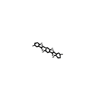 Cc1ccc2sc3c4cc5sc6c7cc(C)ccc7sc6c5cc4sc3c2c1